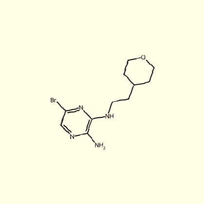 Nc1ncc(Br)nc1NCCC1CCOCC1